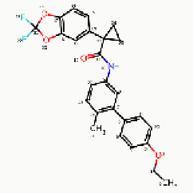 CCOc1ccc(-c2cc(NC(=O)C3(c4ccc5c(c4)OC(F)(F)O5)CC3)ccc2C)cc1